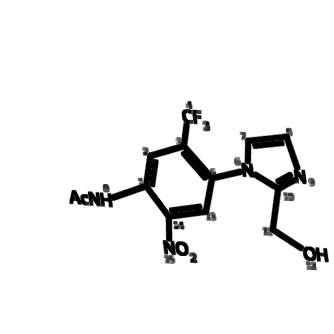 CC(=O)Nc1cc(C(F)(F)F)c(-n2ccnc2CO)cc1[N+](=O)[O-]